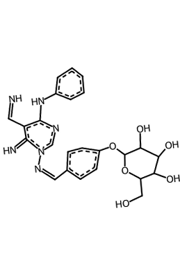 N=Cc1c(Nc2ccccc2)ncn(/N=C\c2ccc(OC3OC(CO)C(O)C(O)C3O)cc2)c1=N